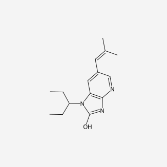 CCC(CC)n1c(O)nc2ncc(C=C(C)C)cc21